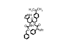 CCCN(C(=O)CN(Cc1ccc(N(C)C)cc1)C(=O)C(Cc1c[nH]cn1)NC(=O)OCc1ccccc1)c1ccccc1